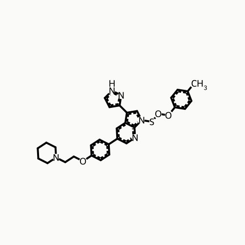 Cc1ccc(OOSn2cc(-c3cc[nH]n3)c3cc(-c4ccc(OCCN5CCCCC5)cc4)cnc32)cc1